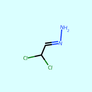 N/N=C/C(Cl)Cl